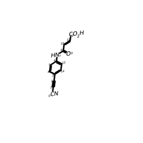 N#CC#Cc1ccc(NC(=O)C=CC(=O)O)cc1